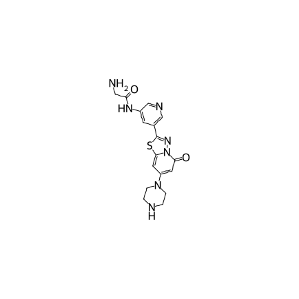 NCC(=O)Nc1cncc(-c2nn3c(=O)cc(N4CCNCC4)cc3s2)c1